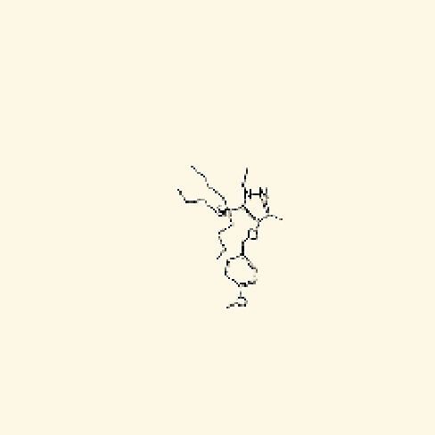 CCC[CH2][Sn]([CH2]CCC)([CH2]CCC)[c]1c(OCc2ccc(OC)cc2)c(C)nn1CC